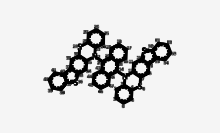 c1ccc2c(c1)Sc1cc3c(cc1N2c1c2ccccc2c(N2c4ccccc4Sc4cc5c(cc42)sc2ccccc25)c2ccccc12)sc1ccccc13